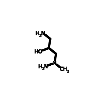 CN(N)CC(O)CN